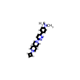 CN(C)c1ccc(-c2ccc(N3CCC4(CC3)CCN(C3CCC3)CC4)nn2)cc1